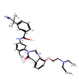 CCN(CC)CCOc1cccc2c(=O)n(-c3cc(NC(=O)c4cccc(C(C)(C)C#N)c4)ccc3C)cnc12